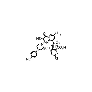 Cc1cc([C@@H](C)Nc2ccc(Cl)nc2C(=O)O)c2nc(N3CCN(c4ccc(C#N)cc4)C[C@@H]3C)c(C#N)c(=O)n2c1